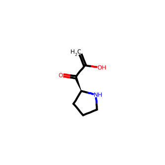 C=C(O)C(=O)[C@@H]1CCCN1